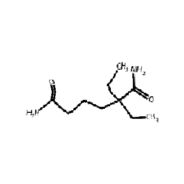 CCC(CC)(CCCC(N)=O)C(N)=O